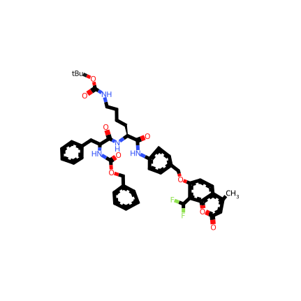 Cc1cc(=O)oc2c(C(F)F)c(OCc3ccc(NC(=O)[C@H](CCCCNC(=O)OC(C)(C)C)NC(=O)C(Cc4ccccc4)NC(=O)OCc4ccccc4)cc3)ccc12